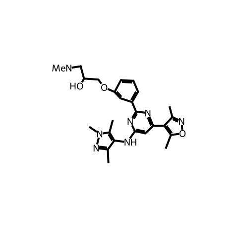 CNCC(O)COc1cccc(-c2nc(Nc3c(C)nn(C)c3C)cc(-c3c(C)noc3C)n2)c1